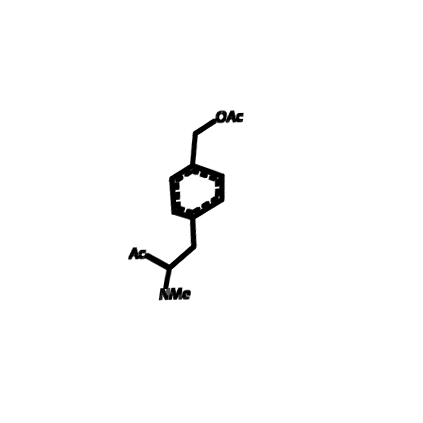 CNC(Cc1ccc(COC(C)=O)cc1)C(C)=O